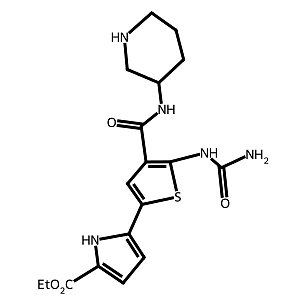 CCOC(=O)c1ccc(-c2cc(C(=O)NC3CCCNC3)c(NC(N)=O)s2)[nH]1